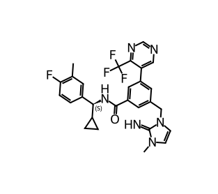 Cc1cc([C@@H](NC(=O)c2cc(Cn3ccn(C)c3=N)cc(-c3cncnc3C(F)(F)F)c2)C2CC2)ccc1F